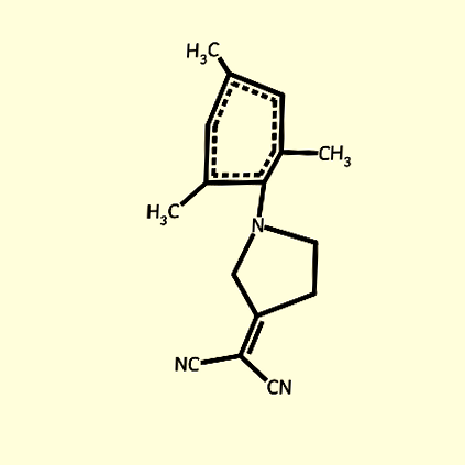 Cc1cc(C)c(N2CCC(=C(C#N)C#N)C2)c(C)c1